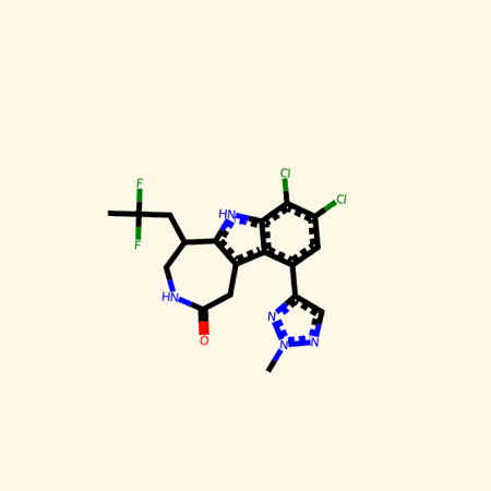 Cn1ncc(-c2cc(Cl)c(Cl)c3[nH]c4c(c23)CC(=O)NCC4CC(C)(F)F)n1